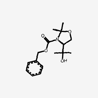 CC(C)(O)C1COC(C)(C)N1C(=O)OCc1ccccc1